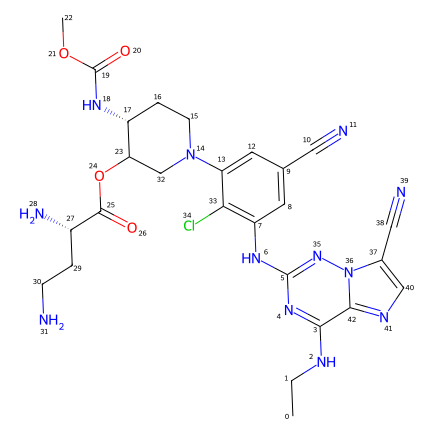 CCNc1nc(Nc2cc(C#N)cc(N3CC[C@@H](NC(=O)OC)C(OC(=O)[C@@H](N)CCN)C3)c2Cl)nn2c(C#N)cnc12